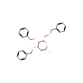 F[C@@H]1[C@@H](OCc2ccccc2)[C@H](OCc2ccccc2)[C@@H](COCc2ccccc2)O[C@@H]1Br